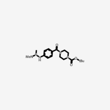 CNN(C)Nc1ccc(C(=O)N2CCN(C(=O)OC(C)(C)C)CC2)cc1